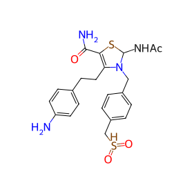 CC(=O)NC1SC(C(N)=O)=C(CCc2ccc(N)cc2)N1Cc1ccc(C[SH](=O)=O)cc1